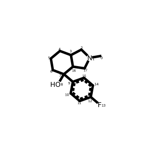 CN1CC2CCCC(O)(c3ccc(F)cc3)C2C1